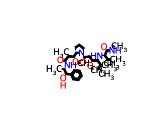 CC[C@H](C)[C@H](N[C@@H](C(=O)NC)C(C)C)C(CC(=O)N1CCC[C@H]1[C@H](OC)[C@@H](C)C(=O)N[C@H](C)[C@@H](O)c1ccccc1)OC